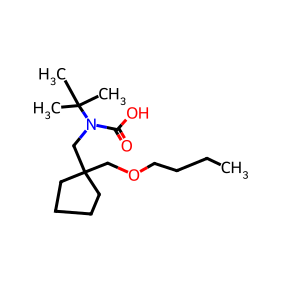 CCCCOCC1(CN(C(=O)O)C(C)(C)C)CCCC1